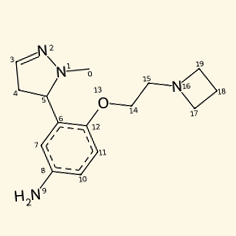 CN1N=CCC1c1cc(N)ccc1OCCN1CCC1